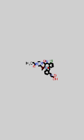 C=CC(=O)N1CCN(c2onc(-c3c(Cl)cccc3Cl)c2C(=O)n2ccc3c(/C=C/C(=O)O)cccc32)C(C2CC2)C1